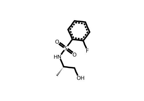 C[C@@H](CO)NS(=O)(=O)c1ccccc1F